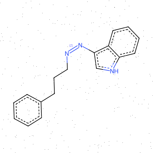 c1ccc(CCC/N=N\c2c[nH]c3ccccc23)cc1